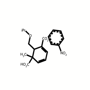 CC(C)OCC1C(C(=O)O)=CC=CC1(C)C(=O)O.O=[N+]([O-])c1ccccc1